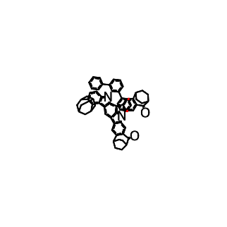 O=C1c2cc3c(cc2C2CCC1CC2)c1cc2c4c5c(ccc4n(-c4c(-c6ccccc6)cccc4-c4ccccc4)c2c2c4cc6c(cc4n3c12)C(=O)C1CCC6CC1)C1CC2CC(C1)CC5C2